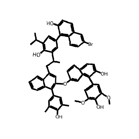 COc1cc(-c2c(O)ccc3ccc(Oc4cc(CC(C)c5cc(-c6c(O)ccc7cc(Br)ccc67)cc(C(C)C)c5O)c5ccccc5c4-c4cc(C)c(O)c(C)c4)cc23)cc(OC)c1O